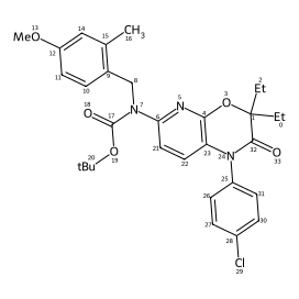 CCC1(CC)Oc2nc(N(Cc3ccc(OC)cc3C)C(=O)OC(C)(C)C)ccc2N(c2ccc(Cl)cc2)C1=O